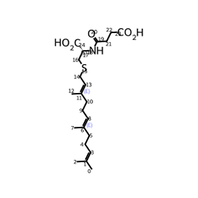 CC(C)=CCC/C(C)=C/CC/C(C)=C/CSC[C@@H](NC(=O)CCC(=O)O)C(=O)O